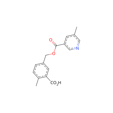 Cc1cncc(C(=O)OCc2ccc(C)c(C(=O)O)c2)c1